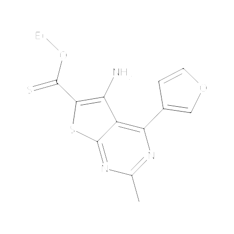 CCOC(=S)c1sc2nc(C)nc(-c3ccoc3)c2c1N